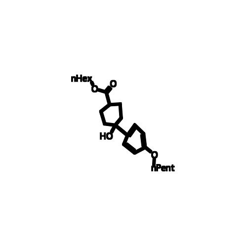 CCCCCCOC(=O)C1CCC(O)(c2ccc(OCCCCC)cc2)CC1